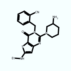 CCNc1cc2nc(N3CCCC(N)C3)n(Cc3ccccc3C#N)c(=O)c2s1